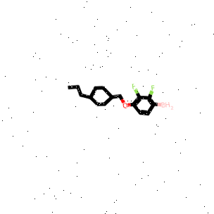 Bc1ccc(OCC2CCC(CCC)CC2)c(F)c1F